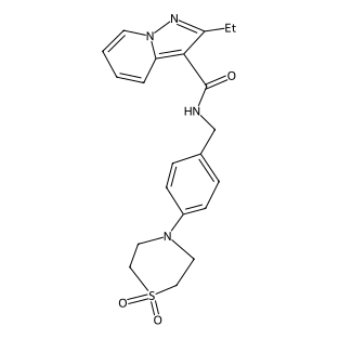 CCc1nn2ccccc2c1C(=O)NCc1ccc(N2CCS(=O)(=O)CC2)cc1